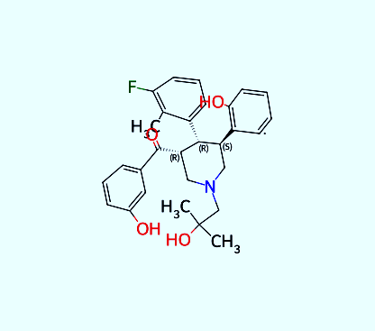 Cc1c(F)cccc1[C@H]1[C@@H](C(=O)c2cccc(O)c2)CN(CC(C)(C)O)C[C@@H]1c1[c]cccc1O